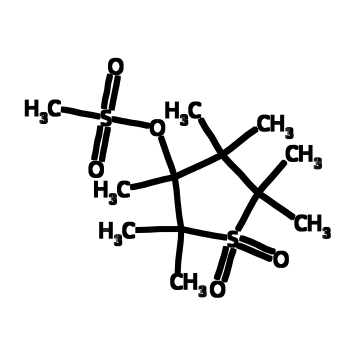 CC1(C)C(C)(OS(C)(=O)=O)C(C)(C)S(=O)(=O)C1(C)C